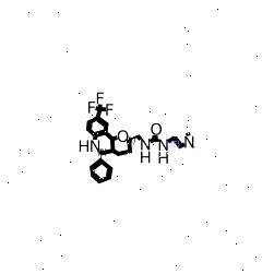 CN(C)/C=C/NC(=O)NC[C@H]1CCC2C(O1)c1cc(C(F)(F)F)ccc1N[C@H]2c1ccccc1